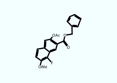 COc1ccc2cc(OC(C)=O)c(C(=O)OCc3ccccc3)cc2c1F